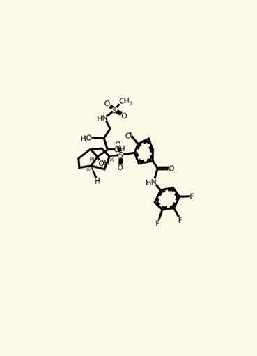 CS(=O)(=O)NCC(O)C(O)[C@@]1(O)C2CC[C@H]1C[C@H](S(=O)(=O)c1cc(C(=O)Nc3cc(F)c(F)c(F)c3)ccc1Cl)C2